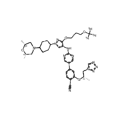 [2H]C([2H])([2H])OCCCOc1nn(C2CCC(N3C[C@@H](C)O[C@@H](C)C3)CC2)cc1Nc1ncc(-c2ccc(C#N)c(O[C@@H](C)Cn3cnnn3)c2)cn1